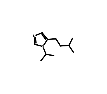 CC(C)CCc1cncn1C(C)C